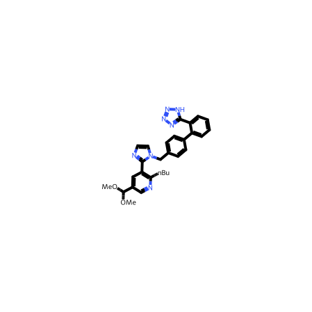 CCCCc1ncc(C(OC)OC)cc1-c1nccn1Cc1ccc(-c2ccccc2-c2nnn[nH]2)cc1